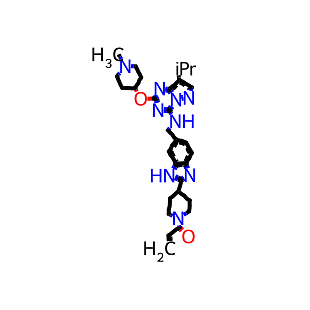 C=CC(=O)N1CCC(c2nc3ccc(CNc4nc(OC5CCN(C)CC5)nc5c(C(C)C)cnn45)cc3[nH]2)CC1